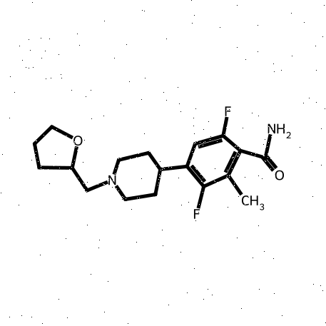 Cc1c(F)c(C2CCN(CC3CCCO3)CC2)cc(F)c1C(N)=O